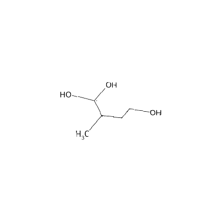 CC(CCO)[C](O)O